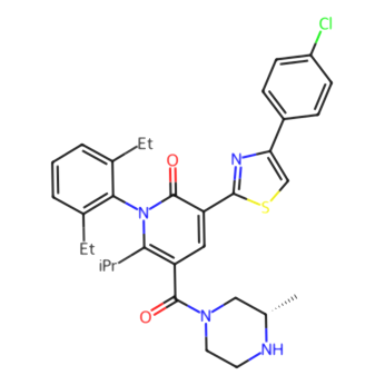 CCc1cccc(CC)c1-n1c(C(C)C)c(C(=O)N2CCN[C@@H](C)C2)cc(-c2nc(-c3ccc(Cl)cc3)cs2)c1=O